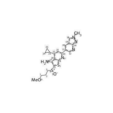 COCCC[S+]([O-])c1sc2nc(-c3cnc4nn(C)cc4c3)cc(C3CC3)c2c1N